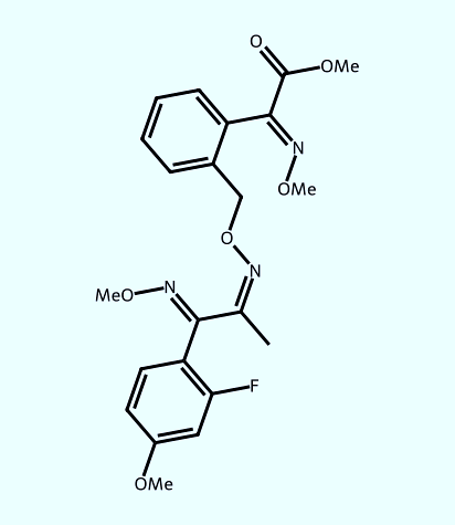 CON=C(C(C)=NOCc1ccccc1C(=NOC)C(=O)OC)c1ccc(OC)cc1F